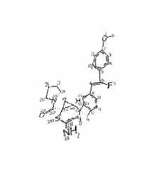 COc1ccc(/C(F)=C/c2ccc3c(c2)[C@@]2(C3)N=C(N)S[C@@]3(C(=O)N4CCCC4)C[C@H]32)nc1